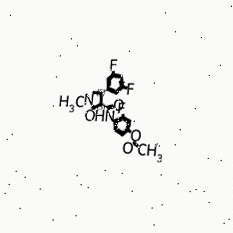 CC(=O)Oc1ccc(NC(=O)[C@H]2C(=O)N(C)C[C@@H]2c2cc(F)cc(F)c2)c(F)c1